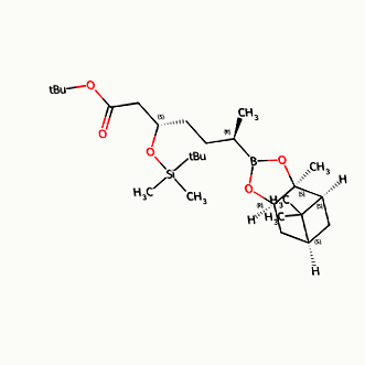 C[C@H](CC[C@@H](CC(=O)OC(C)(C)C)O[Si](C)(C)C(C)(C)C)B1O[C@@H]2C[C@@H]3C[C@@H](C3(C)C)[C@]2(C)O1